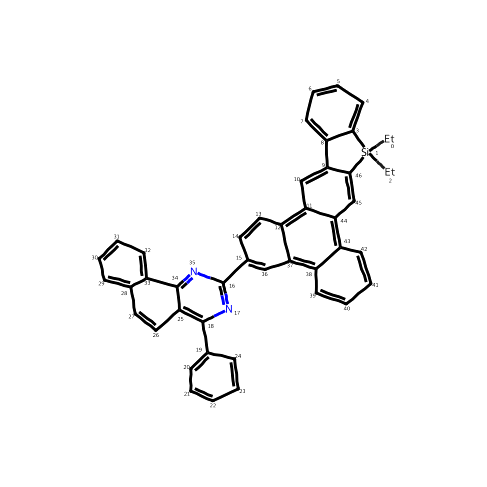 CC[Si]1(CC)c2ccccc2-c2cc3c4ccc(-c5nc(-c6ccccc6)c6ccc7ccccc7c6n5)cc4c4ccccc4c3cc21